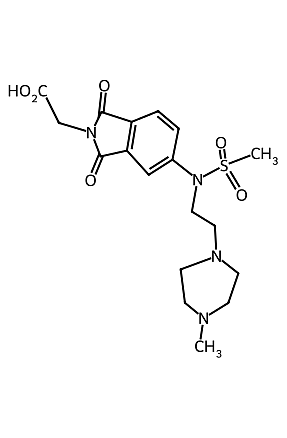 CN1CCN(CCN(c2ccc3c(c2)C(=O)N(CC(=O)O)C3=O)S(C)(=O)=O)CC1